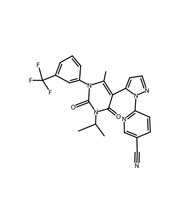 Cc1c(-c2ccnn2-c2ccc(C#N)cn2)c(=O)n(C(C)C)c(=O)n1-c1cccc(C(F)(F)F)c1